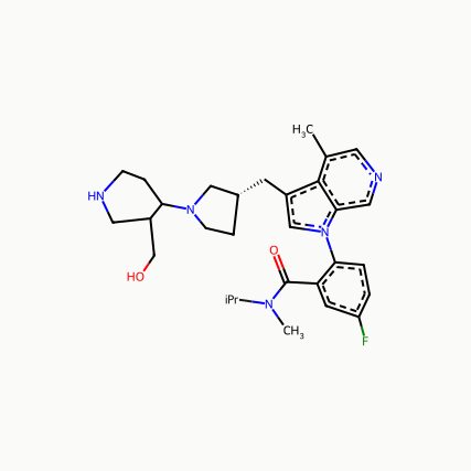 Cc1cncc2c1c(C[C@@H]1CCN(C3CCNCC3CO)C1)cn2-c1ccc(F)cc1C(=O)N(C)C(C)C